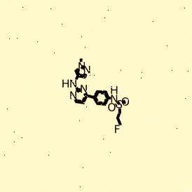 Cn1cc(Nc2nccc(-c3ccc(NS(=O)(=O)CCCF)cc3)n2)cn1